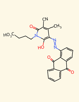 Cc1c(N=Nc2cccc3c2C(=O)c2ccccc2C3=O)c(O)n(CCCC(=O)O)c(=O)c1C#N